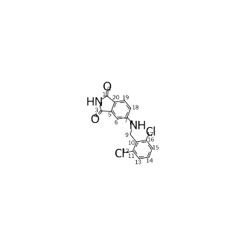 O=C1NC(=O)c2cc(NCc3c(Cl)cccc3Cl)ccc21